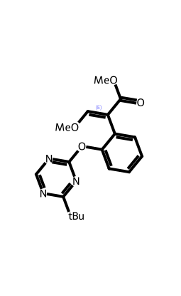 CO/C=C(/C(=O)OC)c1ccccc1Oc1ncnc(C(C)(C)C)n1